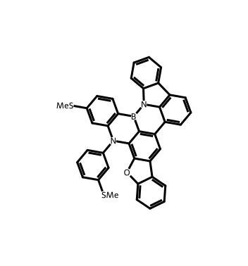 CSc1cccc(N2c3cc(SC)ccc3B3c4c(cc5c(oc6ccccc65)c42)-c2cccc4c5ccccc5n3c24)c1